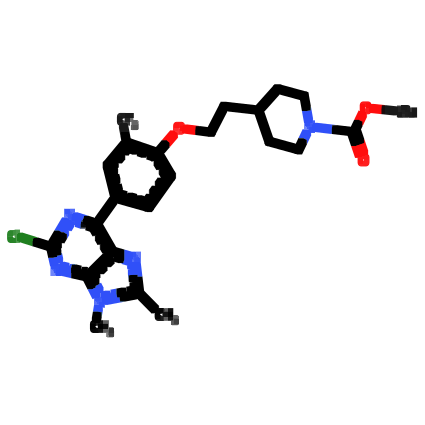 Cc1nc2c(-c3ccc(OCCC4CCN(C(=O)OC(C)(C)C)CC4)c(C(F)(F)F)c3)nc(Cl)nc2n1C